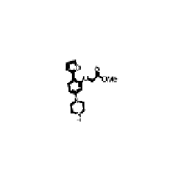 COC(=O)COc1cc(N2CCNCC2)ccc1-c1ccco1